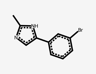 Cc1ncc(-c2cccc(Br)c2)[nH]1